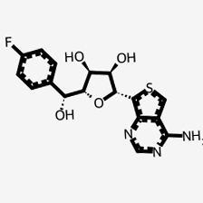 Nc1ncnc2c([C@@H]3O[C@H]([C@H](O)c4ccc(F)cc4)[C@@H](O)[C@H]3O)scc12